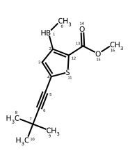 CBc1cc(C#CC(C)(C)C)sc1C(=O)OC